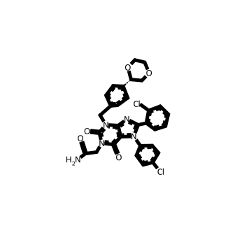 NC(=O)Cn1c(=O)c2c(nc(-c3ccccc3Cl)n2-c2ccc(Cl)cc2)n(Cc2ccc([C@H]3COCCO3)cc2)c1=O